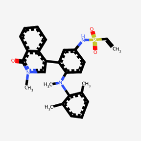 C=CS(=O)(=O)Nc1ccc(N(C)c2c(C)cccc2C)c(-c2cn(C)c(=O)c3ccccc23)c1